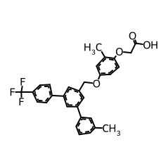 Cc1cccc(-c2cc(COc3ccc(OCC(=O)O)c(C)c3)cc(-c3ccc(C(F)(F)F)cc3)c2)c1